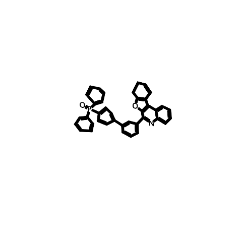 O=P(c1ccccc1)(c1ccccc1)c1ccc(-c2cccc(-c3nc4ccccc4c4c5c(oc34)CCC=C5)c2)cc1